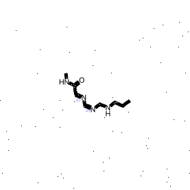 CCCNC/N=C\N=C\C(=O)NC